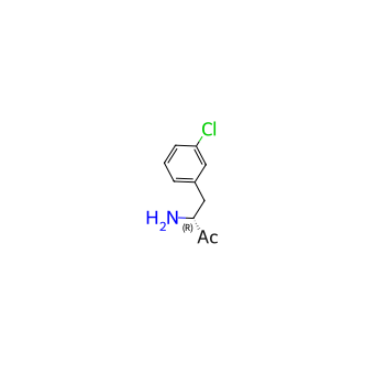 CC(=O)[C@H](N)Cc1cccc(Cl)c1